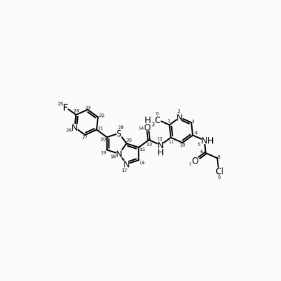 Cc1ncc(NC(=O)CCl)cc1NC(=O)c1cnn2cc(-c3ccc(F)nc3)sc12